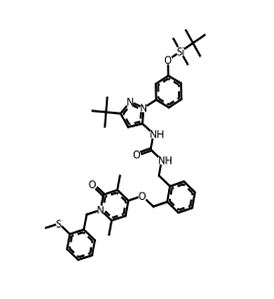 CSc1ccccc1Cn1c(C)cc(OCc2ccccc2CNC(=O)Nc2cc(C(C)(C)C)nn2-c2cccc(O[Si](C)(C)C(C)(C)C)c2)c(C)c1=O